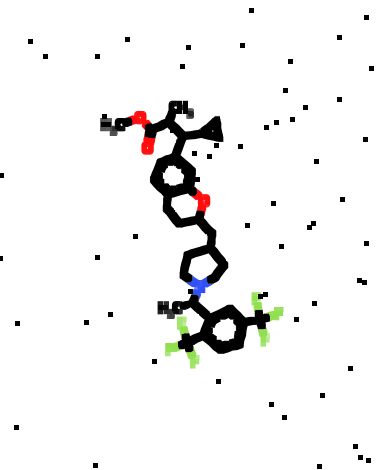 COC(=O)C(C)C(c1ccc2c(c1)OC(CC1CCN([C@H](C)c3cc(C(F)(F)F)ccc3C(F)(F)F)CC1)CC2)C1CC1